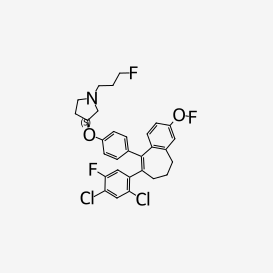 FCCCN1CC[C@H](Oc2ccc(C3=C(c4cc(F)c(Cl)cc4Cl)CCCc4cc(OF)ccc43)cc2)C1